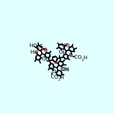 Cc1cc(C)c(C(c2cc(C(C)(C)c3ccc(C(C)(c4cc(C)c(OCC(=O)O)c(C(c5c(C)cc(C)c(C)c5O)c5c(C)cc(C)c(C)c5O)c4)c4cc(C)c(OCC(=O)O)c(C(c5c(C)cc(C)c(C)c5O)c5c(C)cc(C)c(C)c5O)c4)cc3)cc(C)c2OCC(=O)O)c2c(C)cc(C)c(C)c2O)c(O)c1C